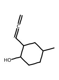 C=C=[C]C1CC(C)CCC1O